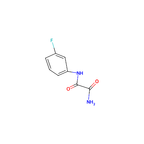 NC(=O)C(=O)Nc1cccc(F)c1